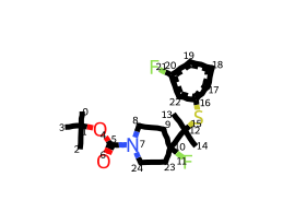 CC(C)(C)OC(=O)N1CCC(F)(C(C)(C)Sc2cccc(F)c2)CC1